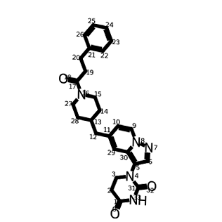 O=C1CCN(c2cnn3ccc(CC4CCN(C(=O)CCc5ccccc5)CC4)cc23)C(=O)N1